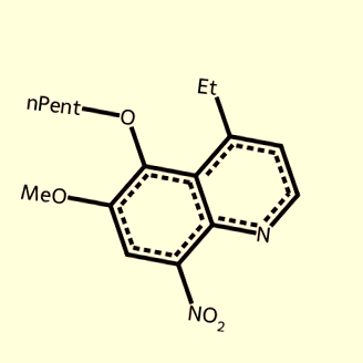 CCCCCOc1c(OC)cc([N+](=O)[O-])c2nccc(CC)c12